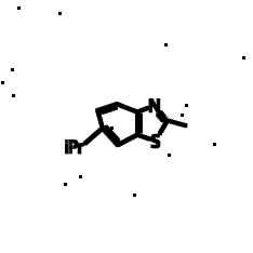 Cc1nc2ccc(C(C)C)cc2s1